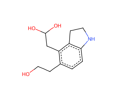 OCCc1ccc2c(c1CC(O)O)CCN2